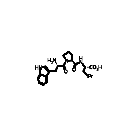 CC(C)C[C@H](NC(=O)[C@@H]1CCCN1C(=O)[C@@H](N)Cc1c[nH]c2ccccc12)C(=O)O